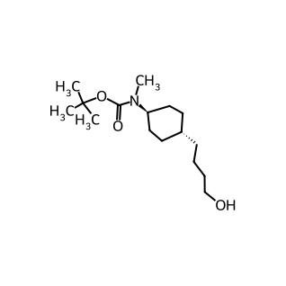 CN(C(=O)OC(C)(C)C)[C@H]1CC[C@H](CCCCO)CC1